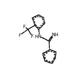 N=C(Nc1ccccc1C(F)(F)F)c1ccccc1